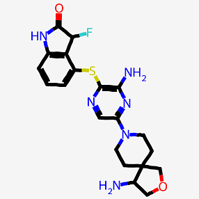 Nc1nc(N2CCC3(CC2)COCC3N)cnc1Sc1cccc2c1C(F)C(=O)N2